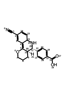 N#CC1=CC2=C3OCCC[C@@H]3[C@@H](c3ccc(C(=O)O)cc3)NC2C=C1